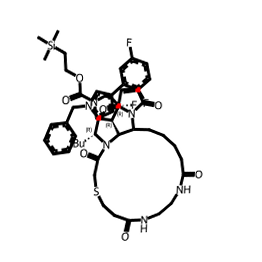 CC(C)(C)[C@H](c1cc(-c2cc(F)ccc2F)cn1Cc1ccccc1)N1C(=O)CSCCC(=O)NCCNC(=O)CCCCC(N2C(=O)C=CC2=O)C1[C@H]1CN(C(=O)OCC[Si](C)(C)C)C[C@@H]1F